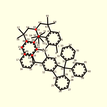 Cc1ccc2c(c1N(c1cc3c(cc1-c1cccc4c1CCCC4)-c1ccccc1C3(c1ccccc1)c1ccccc1)c1c(C)ccc3c1C(C)(C)CCC3(C)C)C(C)(C)CCC2(C)C